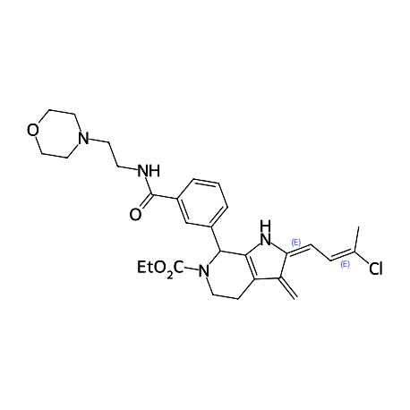 C=c1c2c([nH]/c1=C/C=C(\C)Cl)C(c1cccc(C(=O)NCCN3CCOCC3)c1)N(C(=O)OCC)CC2